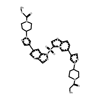 CC(C)(C)CC(=O)N1CCC(n2cc(-c3ccc4ncc(S(=O)(=O)n5ncc6ncc(-c7cnn(C8CCN(C(=O)OC(C)(C)C)CC8)c7)cc65)n4c3)cn2)CC1